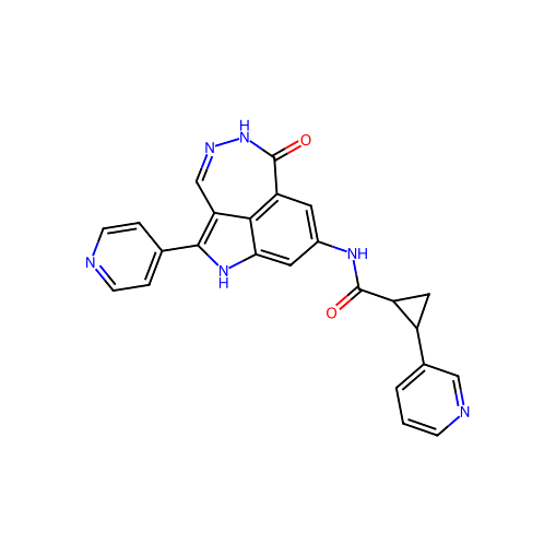 O=C1NN=Cc2c(-c3ccncc3)[nH]c3cc(NC(=O)C4CC4c4cccnc4)cc1c23